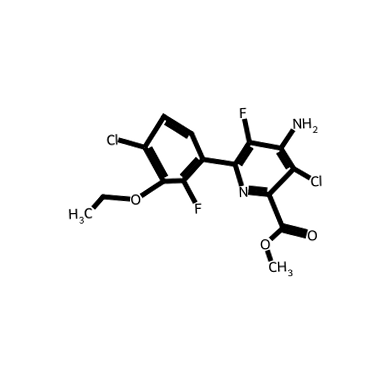 CCOc1c(Cl)ccc(-c2nc(C(=O)OC)c(Cl)c(N)c2F)c1F